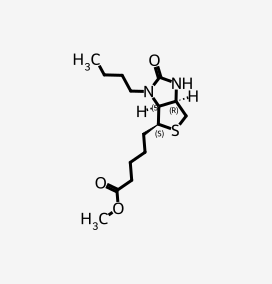 CCCCN1C(=O)N[C@H]2CS[C@@H](CCCCC(=O)OC)[C@H]21